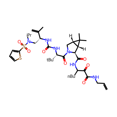 C=CCNC(=O)C(=O)C(CCCC)NC(=O)[C@@H]1[C@@H]2[C@H](CN1C(=O)[C@@H](NC(=O)N[C@H](CN(C(C)C)S(=O)(=O)c1cccs1)C(=C)C)C(C)(C)C)C2(C)C